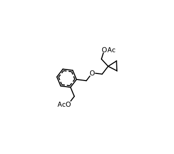 CC(=O)OCc1ccccc1COCC1(COC(C)=O)CC1